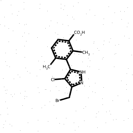 Cc1ccc(C(=O)O)c(C)c1-c1[nH]nc(CBr)c1Cl